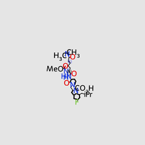 COC(=O)N[C@@H](CC/C=C/C(=O)N(C)C)C(=O)Nc1cccn(Cc2cc3cc(F)cc(CC(C)C)c3n2C(=O)O)c1=O